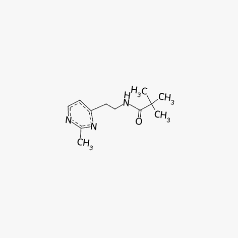 Cc1nccc(CCNC(=O)C(C)(C)C)n1